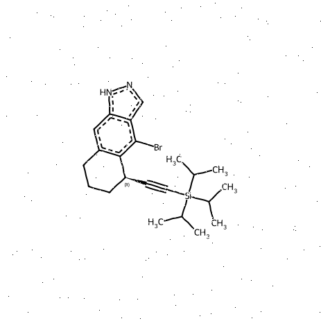 CC(C)[Si](C#C[C@H]1CCCc2cc3[nH]ncc3c(Br)c21)(C(C)C)C(C)C